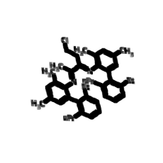 CCCc1cccc(CC)c1-c1cc(C)cc(C)c1N=C(C)C(CCCl)=Nc1c(C)cc(C)cc1-c1c(CC)cccc1CCC